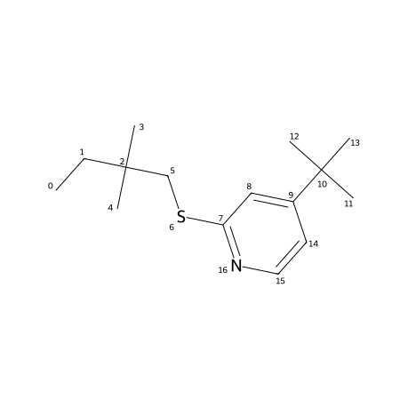 CCC(C)(C)CSc1cc(C(C)(C)C)ccn1